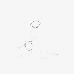 Cc1cc(Cl)ccc1CNc1nc(N)c([N+](=O)[O-])c(C[C@H]2CC[C@H](N)CC2)n1